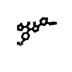 COc1cc(N2C=CC(N(C(=O)c3cccs3)C3CCN(C)CC3)N2)ccn1